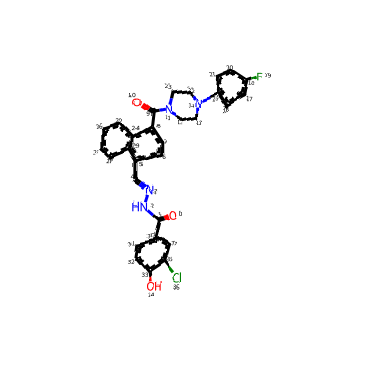 O=C(N/N=C/c1ccc(C(=O)N2CCN(c3ccc(F)cc3)CC2)c2ccccc12)c1ccc(O)c(Cl)c1